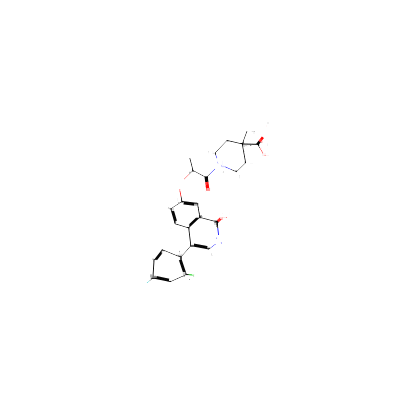 CC(Oc1ccc2c(-c3ccc(F)cc3Cl)c[nH]c(=O)c2c1)C(=O)N1CCC(C)(C(=O)O)CC1